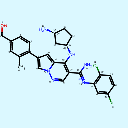 Cc1cc(CO)ccc1-c1cc2c(N[C@@H]3CC[C@H](N)C3)c(/C(N)=N/c3cc(F)ccc3Cl)cnn2c1